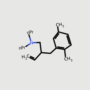 C=CC(Cc1cc(C)ccc1C)CN(CCC)CCC